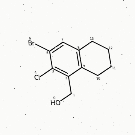 OCc1c(Cl)c(Br)cc2c1CCCC2